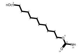 CCCCCCCCCCCCCCCCCCOC([NH])=O